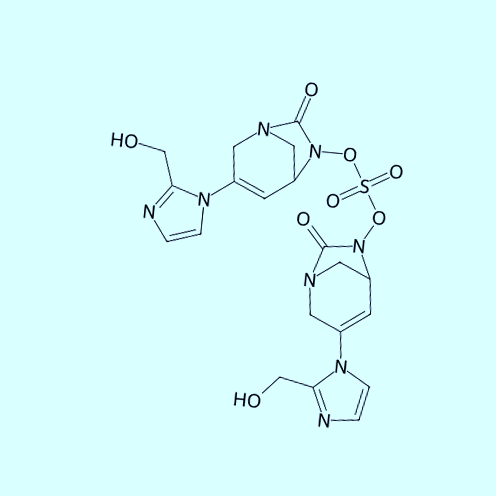 O=C1N2CC(n3ccnc3CO)=CC(C2)N1OS(=O)(=O)ON1C(=O)N2CC(n3ccnc3CO)=CC1C2